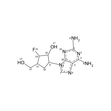 Nc1nc(N)c2ncn(C3CC(CO)C(F)C3O)c2n1